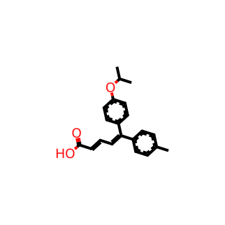 Cc1ccc(/C(=C/C=C/C(=O)O)c2ccc(OC(C)C)cc2)cc1